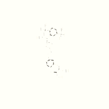 CC(c1cc(C(F)(F)F)ccc1C(F)(F)F)N1CC(COc2cccc(C[C@H](C)C(=O)O)c2)C1